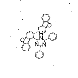 c1ccc(C2=NC(c3ccccc3)NC(c3c(-c4ccc5oc6ccccc6c5c4)ccc4oc5ccccc5c34)=N2)cc1